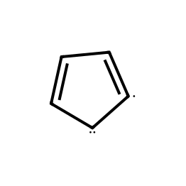 [C]1[C]=CC=C1